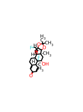 CC1(C)O[C@@H]2C[C@H]3[C@@H]4CCC5=CC(=O)C=C[C@]5(C)[C@@]4(F)[C@@H](O)C[C@]3(C)[C@]2(C(=O)CF)O1